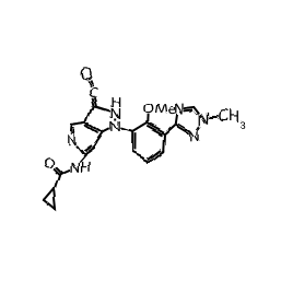 COc1c(-c2ncn(C)n2)cccc1N1NC(=C=O)c2cnc(NC(=O)C3CC3)cc21